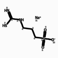 N=C(S)NCCCS(=O)(=O)[O-].[Na+]